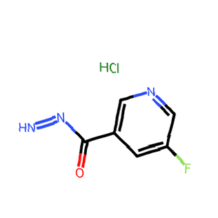 Cl.N=NC(=O)c1cncc(F)c1